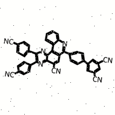 N#Cc1ccc(-c2nc3c(C#N)cc4c(-c5ccc(-c6cc(C#N)cc(C#N)c6)cc5)nc5ccccc5c4c3nc2-c2ccc(C#N)cc2)cc1